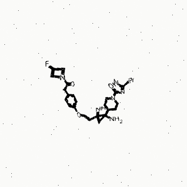 CC(C)c1noc(N2CCC(C3(N)CC3(N)CCOc3ccc(CC(=O)N4CC(F)C4)cc3)CC2)n1